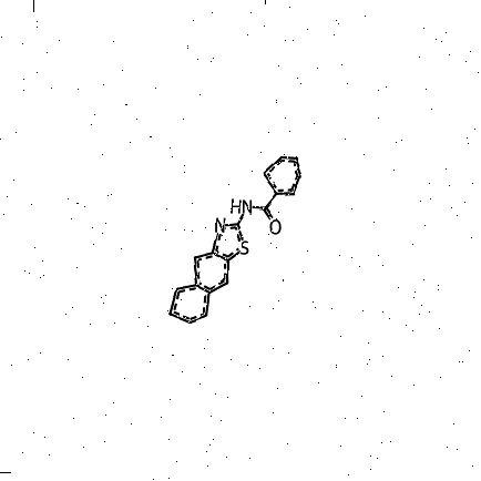 O=C(Nc1nc2cc3ccccc3cc2s1)c1ccccc1